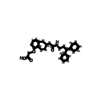 O=C(O)COc1cccc2c1CCC(CC(=O)NCCC(c1ccccc1)c1ccccc1)C2